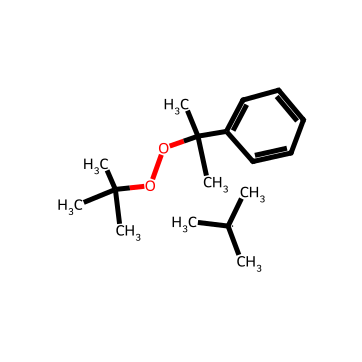 CC(C)(C)OOC(C)(C)c1ccccc1.C[C](C)C